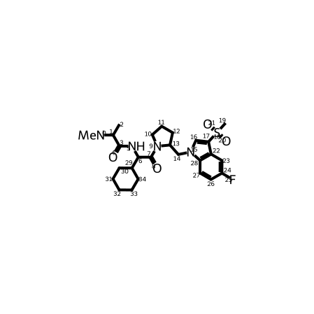 CNC(C)C(=O)NC(C(=O)N1CCCC1Cn1cc(S(C)(=O)=O)c2cc(F)ccc21)C1CCCCC1